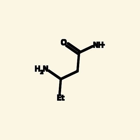 CCC(N)CC([NH])=O